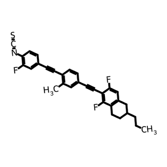 CCCC1CCc2c(cc(F)c(C#Cc3ccc(C#Cc4ccc(N=C=S)c(F)c4)c(C)c3)c2F)C1